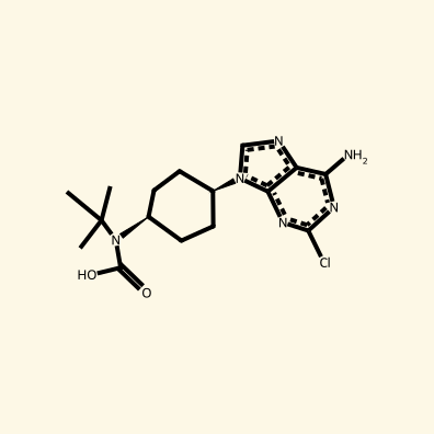 CC(C)(C)N(C(=O)O)[C@H]1CC[C@@H](n2cnc3c(N)nc(Cl)nc32)CC1